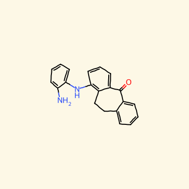 Nc1ccccc1Nc1cccc2c1CCc1ccccc1C2=O